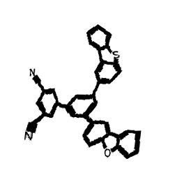 N#Cc1cc(C#N)cc(-c2cc(-c3ccc4oc5ccccc5c4c3)cc(-c3ccc4sc5ccccc5c4c3)c2)c1